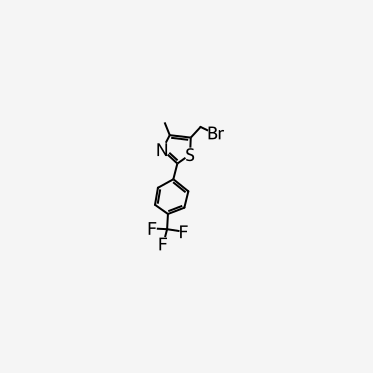 Cc1nc(-c2ccc(C(F)(F)F)cc2)sc1CBr